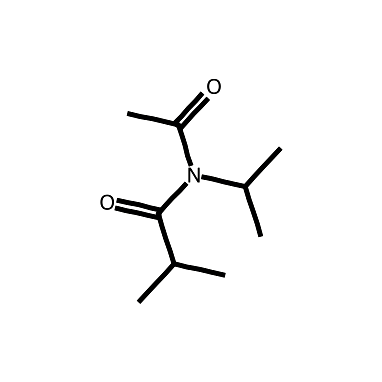 CC(=O)N(C(=O)C(C)C)C(C)C